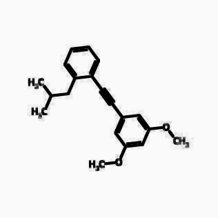 COc1cc(C#Cc2ccccc2CC(C)C)cc(OC)c1